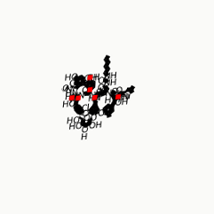 CCCCCCNC(=O)NC(=O)C[C@@H]1NC(=O)[C@H](NC(=O)[C@@H](CC(C)C)NC)[C@H](O)c2ccc(c(C)c2)Oc2cc3cc(c2O[C@@H]2O[C@H](CO)[C@@H](O)[C@H](O)[C@H]2O)Oc2ccc(cc2Cl)[C@@H](O)[C@@H]2NC(=O)[C@H](NC(=O)[C@@H]3NC1=O)c1ccc(O)c(c1)-c1c(O)cc(O)cc1[C@@H](C(=O)NOC)NC2=O